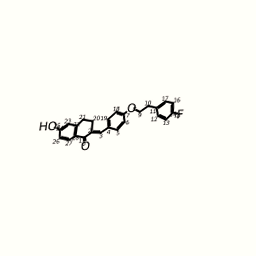 O=C1/C(=C/c2ccc(OCCc3ccc(F)cc3)cc2)CCc2cc(O)ccc21